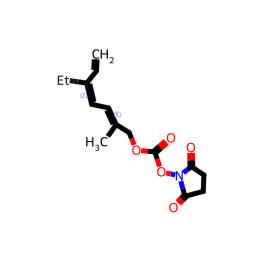 C=C/C(=C\C=C(/C)COC(=O)ON1C(=O)CCC1=O)CC